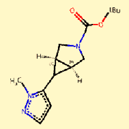 Cn1nccc1C1[C@H]2CN(C(=O)OC(C)(C)C)C[C@@H]12